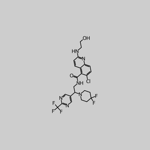 O=C(NCC(c1cnc(C(F)(F)F)nc1)N1CCC(F)(F)CC1)c1c(Cl)ccc2nc(NCCO)ccc12